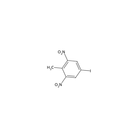 Cc1c([N+](=O)[O-])cc(I)cc1[N+](=O)[O-]